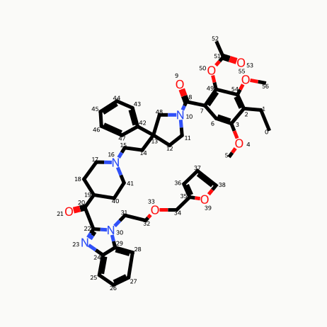 CCc1c(OC)cc(C(=O)N2CCC(CCN3CCC(C(=O)c4nc5ccccc5n4CCOCc4ccco4)CC3)(c3ccccc3)C2)c(OC(C)=O)c1OC